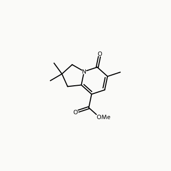 COC(=O)c1cc(C)c(=O)n2c1CC(C)(C)C2